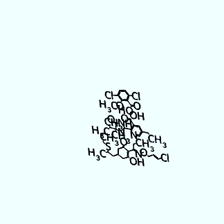 CCSC(C)CC1CC(=O)C(/C(CC)=N/OC/C=C/Cl)=C(O)C1.CCc1cnc(C2=NC(C)(C(C)C)C(=O)N2)c(C(=O)O)c1.COc1c(Cl)ccc(Cl)c1C(=O)O